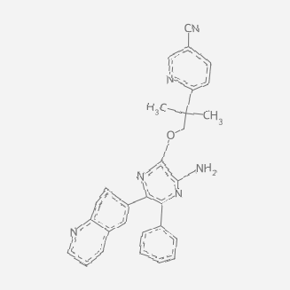 CC(C)(COc1nc(-c2ccc3ncccc3c2)c(-c2ccccc2)nc1N)c1ccc(C#N)cn1